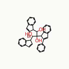 OC(C1C=Cc2ccccc21)C(O)(C1C(c2ccccc2)=Cc2ccccc21)C(O)C1C(Br)=Cc2ccccc21